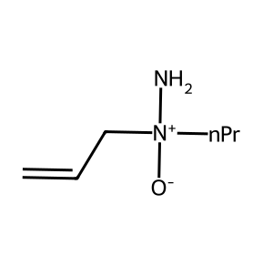 C=CC[N+](N)([O-])CCC